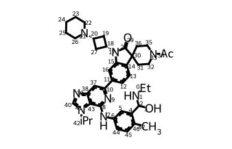 CCNC(O)c1cc(Nc2nc(-c3ccc4c(c3)N([C@H]3C[C@@H](N5CCCCC5)C3)C(=O)C43CCN(C(C)=O)CC3)cc3ncn(C(C)C)c23)ccc1C